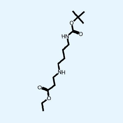 CCOC(=O)CCNCCCCNC(=O)OC(C)(C)C